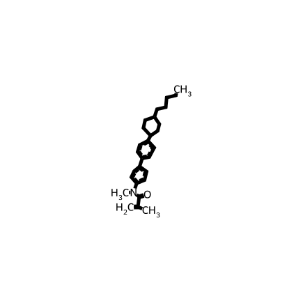 C=C(C)C(=O)N(C)c1ccc(-c2ccc(C3CCC(CCCCC)CC3)cc2)cc1